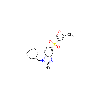 CC(C)(C)c1nc2cc(S(=O)(=O)c3coc(C(F)(F)F)c3)ccc2n1CC1CCCCC1